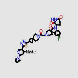 CNc1cc(-n2cccc2)ncc1-c1nnc(C2CC3(CCN(C(=O)CN4CCC5(CC4)C(=O)N(C4CCC(=O)NC4=O)c4ccc(F)cc45)CC3)C2)s1